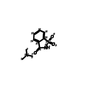 CN(C)C.O=C1NS(=O)(=O)c2ccccc21